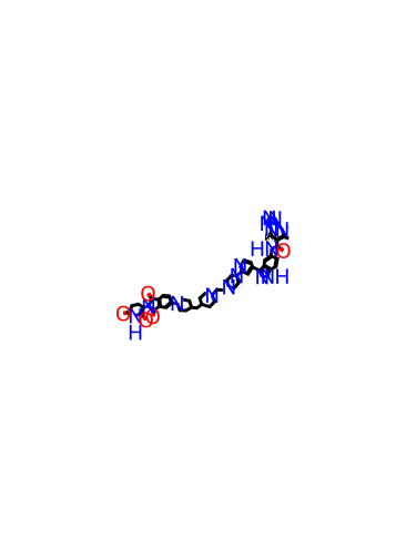 CC1=C(C(=O)Nc2ccc3[nH]nc(-c4ccnc(N5CCN(CCN6CCC(CC7CCN(c8ccc9c(c8)C(=O)N(C8CCC(=O)NC8=O)C9=O)CC7)CC6)CC5)c4)c3c2)[C@@H](C)n2nnnc2N1C